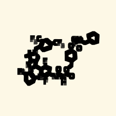 CCc1cccc(CC)c1-n1nc2c(c1-c1cc(F)c(NC(=O)NC(=O)OCc3ccc(OP(=O)(O)OCc4ccccc4)cc3)cc1F)CN(Cc1ccc(C(F)(F)F)cc1C(F)(F)F)C2(C)C